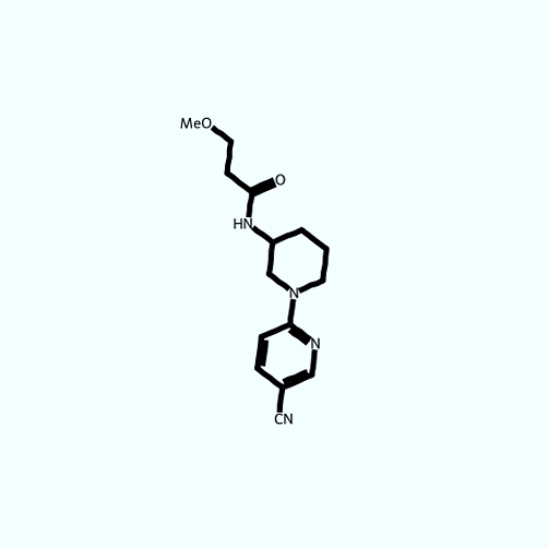 COCCC(=O)NC1CCCN(c2ccc(C#N)cn2)C1